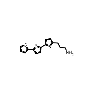 NCCCc1ccc(-c2ccc(-c3cccs3)s2)s1